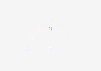 Cc1cccc(C23CN(C(=O)c4cn(C)c5c(C)cn(C)c(=O)c45)CC2C3(F)F)c1